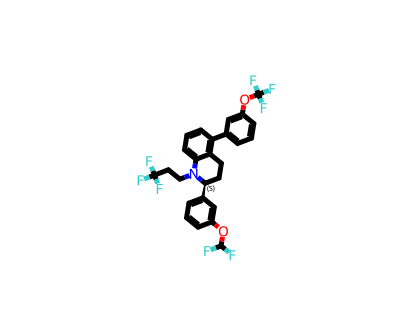 FC(F)Oc1cccc([C@@H]2CCc3c(-c4cccc(OC(F)(F)F)c4)cccc3N2CCC(F)(F)F)c1